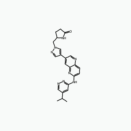 CC(C)c1cnnc(Nc2ccc3ncc(-c4cnn(CC5CCC(=O)N5)c4)cc3n2)c1